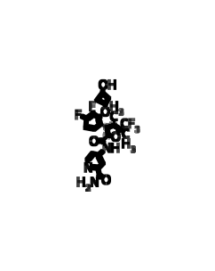 C[C@H]1[C@@H](c2ccc(F)c(F)c2OC2CC(O)C2)[C@H](C(=O)Nc2ccnc(C(N)=O)c2)O[C@@]1(C)C(F)(F)F